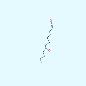 CCCCC(=O)CCCCCC=C=O